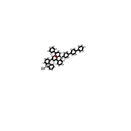 CCn1c2ccccc2c2c(-c3cccc(-c4ccccc4N(c4ccc(-c5ccc(-c6ccccc6)cc5)cc4)C4C=CC(c5ccccc5)=CC4)c3)cccc21